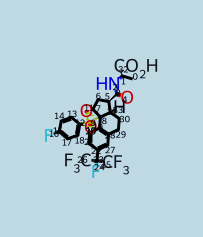 C[C@H](NC(=O)[C@@H]1CC[C@@]2(S(=O)(=O)c3ccc(F)cc3)c3ccc(C(F)(C(F)(F)F)C(F)(F)F)cc3CC[C@@H]12)C(=O)O